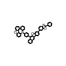 c1ccc(-c2nc3ccc(-c4ccc5c(c4)oc4c(-c6ccc(N(c7ccccc7)c7cccc8oc9ccccc9c78)cc6)c6ccccc6cc45)cc3o2)cc1